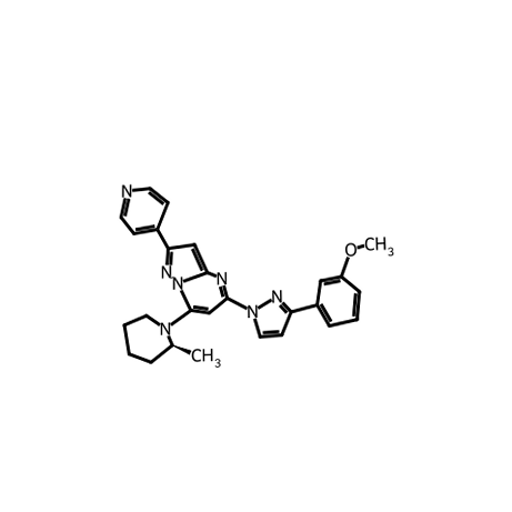 COc1cccc(-c2ccn(-c3cc(N4CCCC[C@@H]4C)n4nc(-c5ccncc5)cc4n3)n2)c1